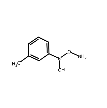 Cc1cccc(B(O)ON)c1